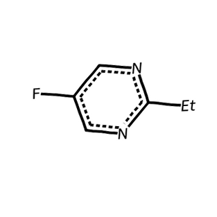 CCc1ncc(F)cn1